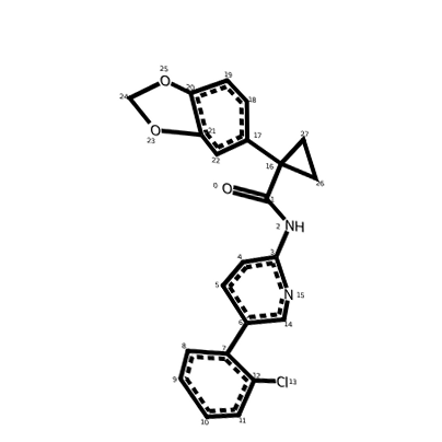 O=C(Nc1ccc(-c2ccccc2Cl)cn1)C1(c2ccc3c(c2)OCO3)CC1